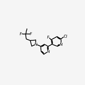 CC(F)(F)CC1CN(c2ccnc(-c3cnc(Cl)cc3F)c2)C1